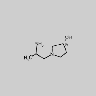 CC(N)CN1CC[C@@H](O)C1